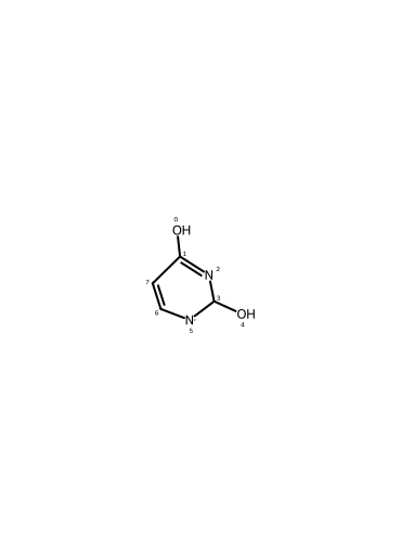 OC1=NC(O)[N]C=C1